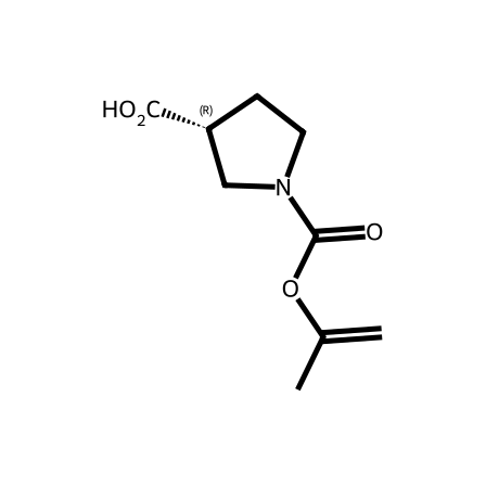 C=C(C)OC(=O)N1CC[C@@H](C(=O)O)C1